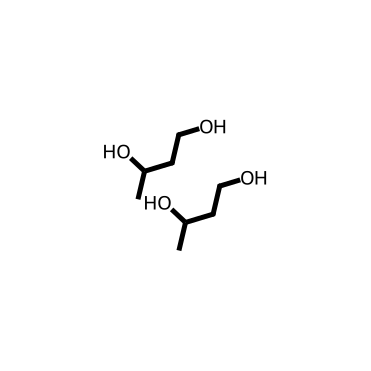 CC(O)CCO.CC(O)CCO